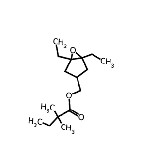 CCC(C)(C)C(=O)OCC1CC2(CC)OC2(CC)C1